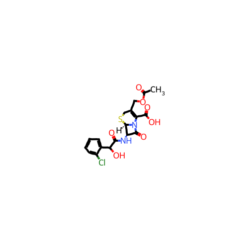 CC(=O)OCC1=C(C(=O)O)N2C(=O)[C@@H](NC(=O)C(O)c3ccccc3Cl)[C@H]2SC1